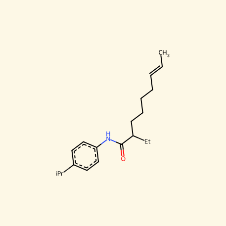 CC=CCCCCC(CC)C(=O)Nc1ccc(C(C)C)cc1